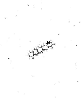 c1cnc2cc3cc4cc5ncccc5cc4nc3cc2c1